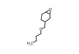 CCCCOCC1CCC2OC2C1